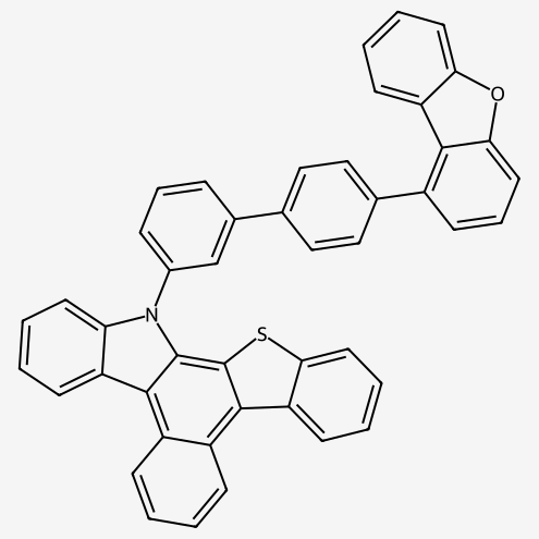 c1cc(-c2ccc(-c3cccc4oc5ccccc5c34)cc2)cc(-n2c3ccccc3c3c4ccccc4c4c5ccccc5sc4c32)c1